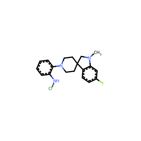 CN1CC2(CCN(c3ccccc3NCl)CC2)c2ccc(F)cc21